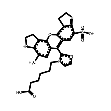 Cc1cc2c(c3c1NCC3)Oc1c3c(c(S(=O)(=O)O)cc1=C2c1nccn1CCCCCC(=O)O)=NCC3